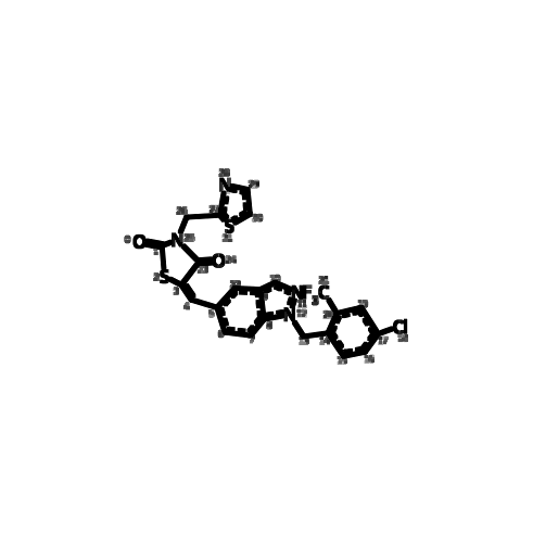 O=C1SC(=Cc2ccc3c(cnn3Cc3ccc(Cl)cc3C(F)(F)F)c2)C(=O)N1Cc1nccs1